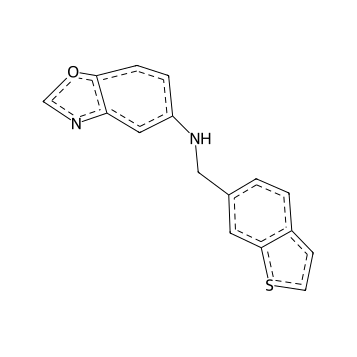 c1nc2cc(NCc3ccc4ccsc4c3)ccc2o1